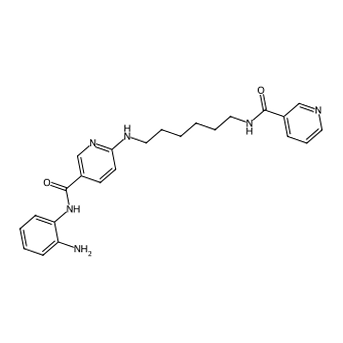 Nc1ccccc1NC(=O)c1ccc(NCCCCCCNC(=O)c2cccnc2)nc1